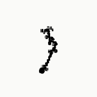 CN(C)CC=CC(=O)N1CCN(c2ccc(CCC(=O)NCCCCCCCCCNC(=O)c3ccccc3)s2)C(=O)C1